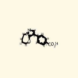 O=C(O)c1ccc(-c2cnn3c2OCCCC3)cc1